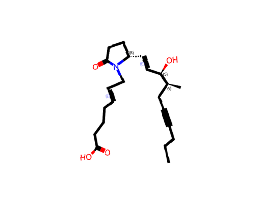 CCCC#CC[C@H](C)[C@H](O)/C=C/[C@H]1CCC(=O)N1C/C=C/CCCC(=O)O